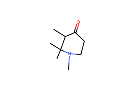 CC1C(=O)CCN(C)C1(C)C